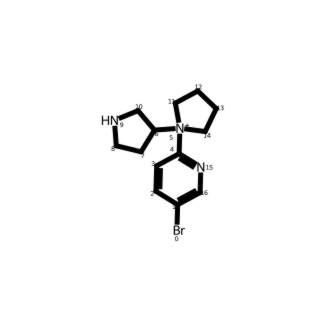 Brc1ccc([N+]2(C3CCNC3)CCCC2)nc1